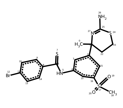 CC1(c2cc(NC(=S)c3ccc(Br)cc3)cc(S(C)(=O)=O)c2)CCSC(N)=N1